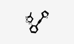 CC1=NO[C@@H](c2ccccc2C#Cc2cccs2)C1